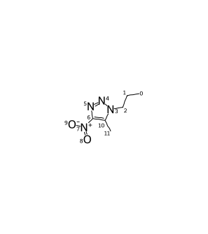 CCCn1nnc([N+](=O)[O-])c1C